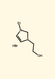 Br.CCN1C=CN(CCO)C1